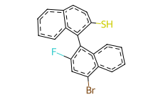 Fc1cc(Br)c2ccccc2c1-c1c(S)ccc2ccccc12